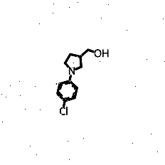 OCC1CCN(c2[c]cc(Cl)cc2)C1